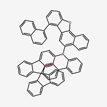 c1ccc(-c2ccccc2N(c2ccc3c(c2)C2(c4ccccc4-c4ccccc42)c2ccccc2-3)c2cc3c(oc4cccc(-c5cccc6ccccc56)c43)c3ccccc23)cc1